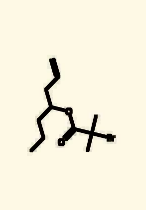 C=CCC(CCC)OC(=O)C(C)(C)Br